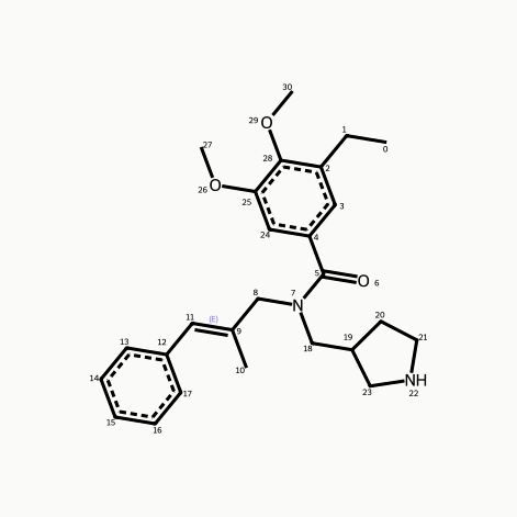 CCc1cc(C(=O)N(C/C(C)=C/c2ccccc2)CC2CCNC2)cc(OC)c1OC